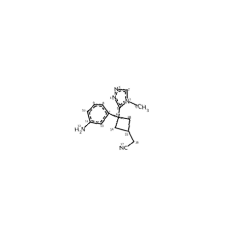 Cn1cnnc1C1(c2cccc(N)c2)CC(CC#N)C1